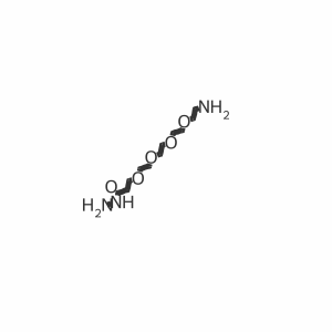 NCCOCCOCCOCCOCCC(=O)NN